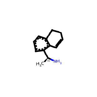 C[C@H](N)c1cccc2c1C=CCC2